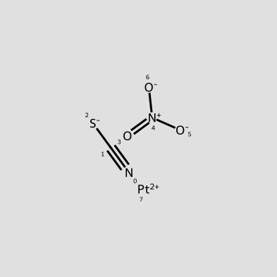 N#C[S-].O=[N+]([O-])[O-].[Pt+2]